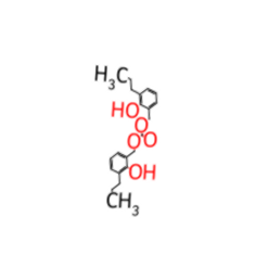 CCCc1cccc(COC(=O)OCc2cccc(CCC)c2O)c1O